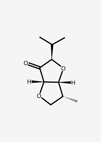 CC(C)[C@H]1O[C@@H]2[C@H](C)CO[C@@H]2C1=O